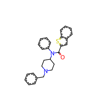 O=C(c1cc2ccccc2s1)N(c1ccccc1)C1CCN(Cc2ccccc2)CC1